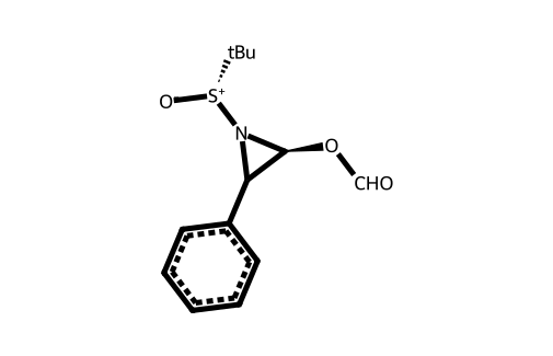 CC(C)(C)[S@@+]([O-])N1C(c2ccccc2)[C@@H]1OC=O